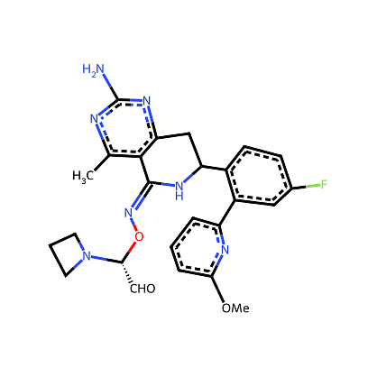 COc1cccc(-c2cc(F)ccc2C2Cc3nc(N)nc(C)c3/C(=N/O[C@H](C=O)N3CCC3)N2)n1